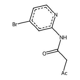 CC(=O)CC(=O)Nc1cc(Br)ccn1